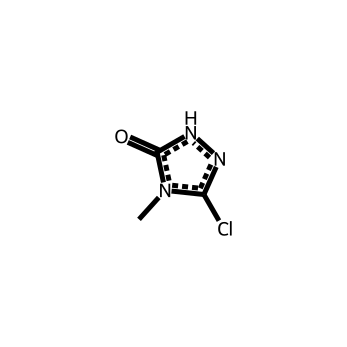 Cn1c(Cl)n[nH]c1=O